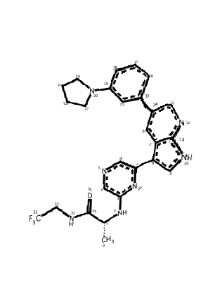 C[C@@H](Nc1cncc(-c2c[nH]c3ncc(-c4cccc(N5CCCC5)c4)cc23)n1)C(=O)NCC(F)(F)F